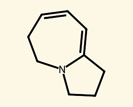 C1=CCCN2CCCC2=C1